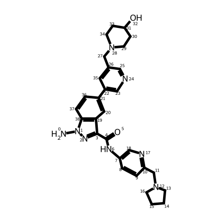 Nn1nc(C(=O)Nc2ccc(CN3CCCC3)nc2)c2cc(-c3cncc(CN4CCC(O)CC4)c3)ccc21